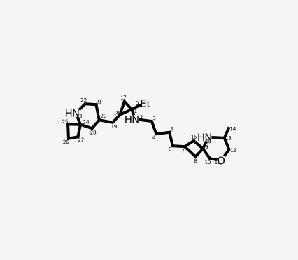 CCC1(NCCCCC2CC3(COCC(C)N3)C2)CC1CC1CCNC2(CCC2)C1